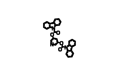 O=C(Oc1cncc(OC(=O)n2c3ccccc3c3ccccc32)c1)n1c2ccccc2c2ccccc21